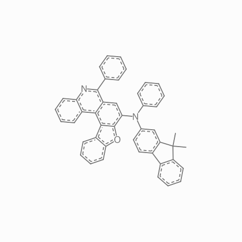 CC1(C)c2ccccc2-c2ccc(N(c3ccccc3)c3cc4c(-c5ccccc5)nc5ccccc5c4c4c3oc3ccccc34)cc21